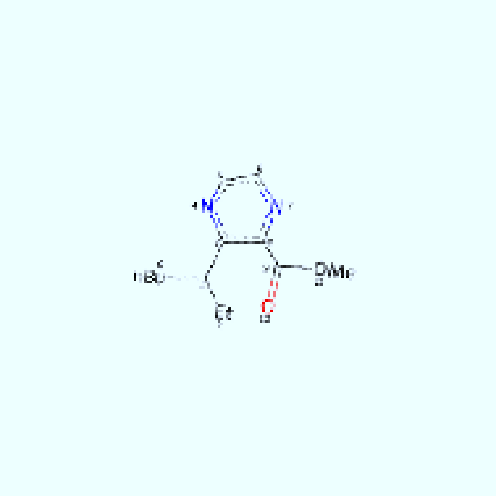 CCCCC(CC)c1nccnc1C(=O)OC